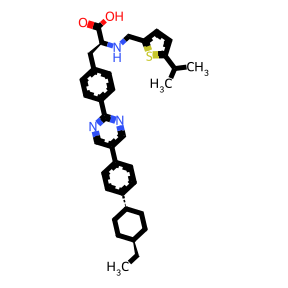 CC[C@H]1CC[C@H](c2ccc(-c3cnc(-c4ccc(C[C@H](NCc5ccc(C(C)C)s5)C(=O)O)cc4)nc3)cc2)CC1